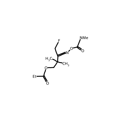 CCC(=O)OCC(C)(C)C(CF)=NOC(=O)NC